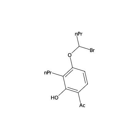 CCCc1c(OC(Br)CCC)ccc(C(C)=O)c1O